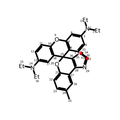 CCN(CC)c1ccc2c(c1)Oc1ccc(N(CC)CC)cc1C21Oc2ccc(C)cc2-c2nc3ccccn3c21